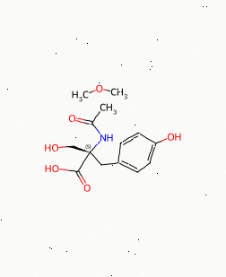 CC(=O)N[C@](CO)(Cc1ccc(O)cc1)C(=O)O.COC